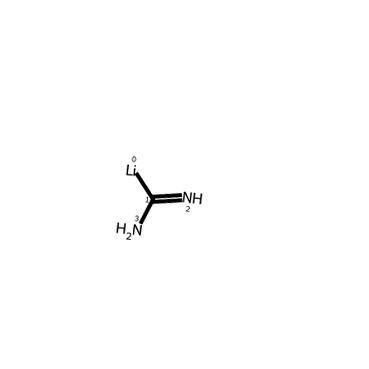 [Li][C](=N)N